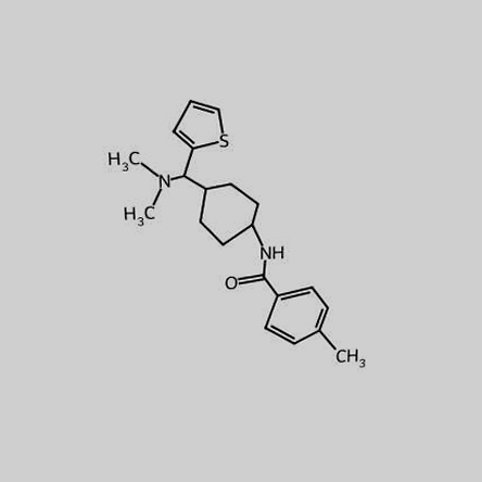 Cc1ccc(C(=O)NC2CCC(C(c3cccs3)N(C)C)CC2)cc1